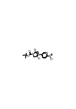 CC(C)(C)OC(=O)N1C[C@@H]2C[C@H]1CN2c1ccc([N+](=O)[O-])nc1